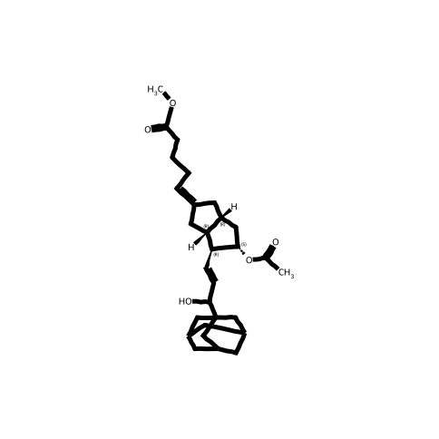 COC(=O)CCCC=C1C[C@@H]2C[C@H](OC(C)=O)[C@@H](C=CC(O)C34CC5CC(CC(C5)C3)C4)[C@@H]2C1